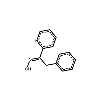 O/N=C(\Cc1ccccc1)c1ccccn1